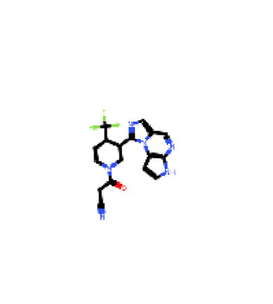 N#CCC(=O)N1CCC(C(F)(F)F)C(c2ncc3cnc4[nH]ccc4n23)C1